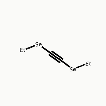 CC[Se]C#C[Se]CC